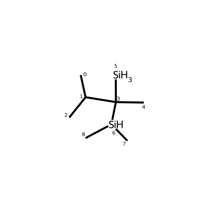 CC(C)C(C)([SiH3])[SiH](C)C